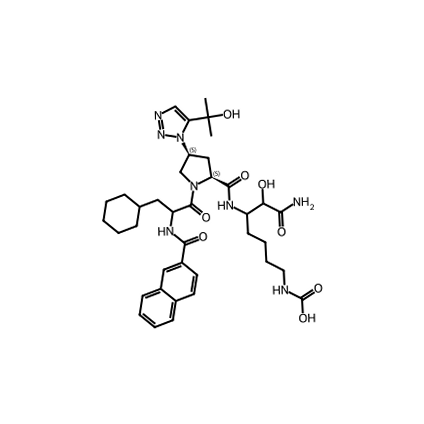 CC(C)(O)c1cnnn1[C@H]1C[C@@H](C(=O)NC(CCCCNC(=O)O)C(O)C(N)=O)N(C(=O)C(CC2CCCCC2)NC(=O)c2ccc3ccccc3c2)C1